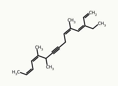 C=C/C(=C\C(C)=C/CC#CC(C)/C(C)=C\C=C/C)CC